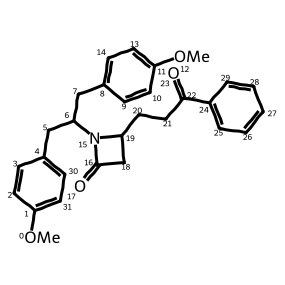 COc1ccc(CC(Cc2ccc(OC)cc2)N2C(=O)CC2CCC(=O)c2ccccc2)cc1